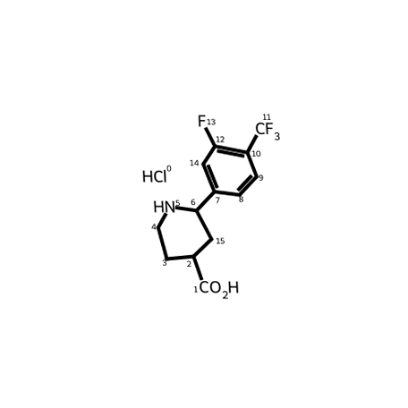 Cl.O=C(O)C1CCNC(c2ccc(C(F)(F)F)c(F)c2)C1